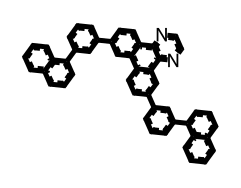 c1cc(-c2ccc3c(c2)c2ccc(-c4cccc(-c5cccc6ccccc56)c4)cc2c2nccnc32)cc(-c2cccc3ccccc23)c1